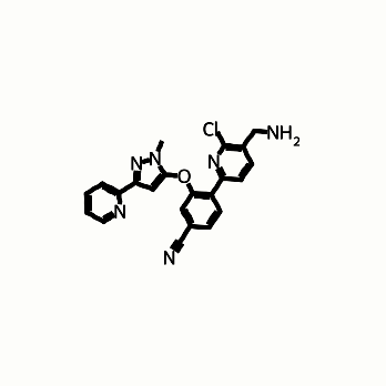 Cn1nc(-c2ccccn2)cc1Oc1cc(C#N)ccc1-c1ccc(CN)c(Cl)n1